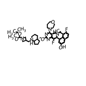 C#Cc1c(F)ccc2cc(O)cc(-c3ncc4c(N5CCCOCC5)nc(OC[C@]56CCC[C@H]5N(CC5CN(C(=O)OC(C)(C)C)C5)CCC6)nc4c3F)c12